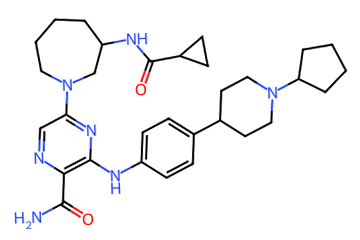 NC(=O)c1ncc(N2CCCCC(NC(=O)C3CC3)C2)nc1Nc1ccc(C2CCN(C3CCCC3)CC2)cc1